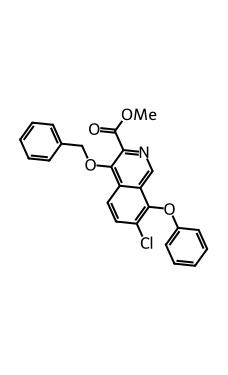 COC(=O)c1ncc2c(Oc3ccccc3)c(Cl)ccc2c1OCc1ccccc1